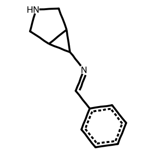 C(=NC1C2CNCC21)c1ccccc1